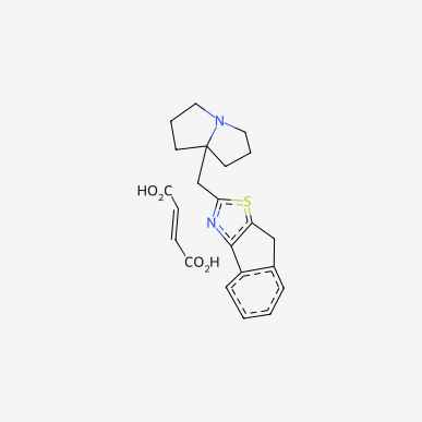 O=C(O)C=CC(=O)O.c1ccc2c(c1)Cc1sc(CC34CCCN3CCC4)nc1-2